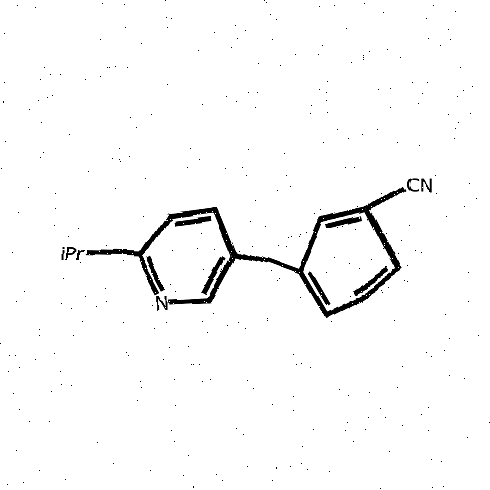 CC(C)c1ccc(-c2cccc(C#N)c2)cn1